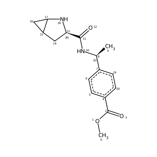 COC(=O)c1ccc([C@H](C)NC(=O)[C@H]2CC3CC3N2)cc1